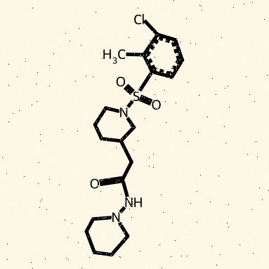 Cc1c(Cl)cccc1S(=O)(=O)N1CCCC(CC(=O)NN2CCCCC2)C1